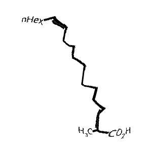 CCCCCC/C=C\CCCCCCC/C=C(\C)C(=O)O